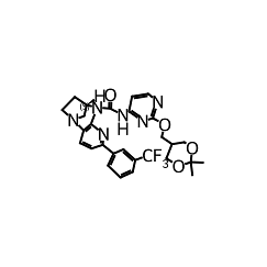 CC1(C)OCC(COc2nccc(NC(=O)N3c4nc(-c5cccc(C(F)(F)F)c5)ccc4N4CC[C@H]3C4)n2)CO1